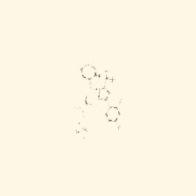 CN(CCS(C)(=O)=O)C(=O)Oc1c(-c2ccc(Cl)cc2F)cc(C(F)(F)F)n1Cc1ccccc1